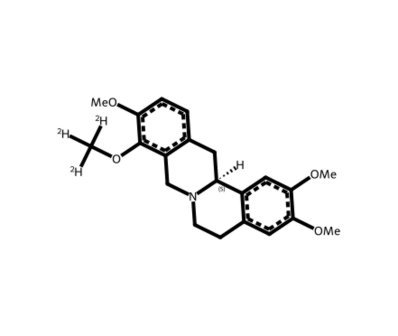 [2H]C([2H])([2H])Oc1c(OC)ccc2c1CN1CCc3cc(OC)c(OC)cc3[C@@H]1C2